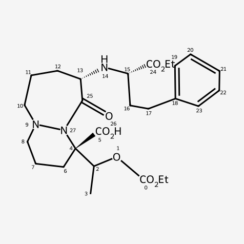 CCOC(=O)OC(C)[C@]1(C(=O)O)CCCN2CCC[C@H](N[C@@H](CCc3ccccc3)C(=O)OCC)C(=O)N21